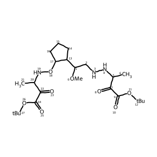 COC(CNNC(C)C(=O)C(=O)OC(C)(C)C)C1CCCC1ONC(C)C(=O)C(=O)OC(C)(C)C